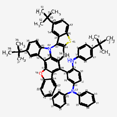 CC(C)(C)c1ccc(Nc2ccc(N(c3ccccc3)c3ccccc3)cc2-c2c3c4c(c5cc(C(C)(C)C)ccc5n4-c4c(sc5ccc(C(C)(C)C)cc45)B3)c3oc4ccccc4c23)cc1